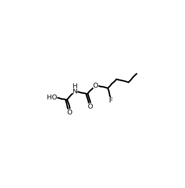 CCCC(F)OC(=O)NC(=O)O